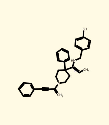 C=C(C#Cc1ccccc1)N1CCC(/C(=C/C)NCc2ccc(S)cc2)(c2ccccc2)CC1